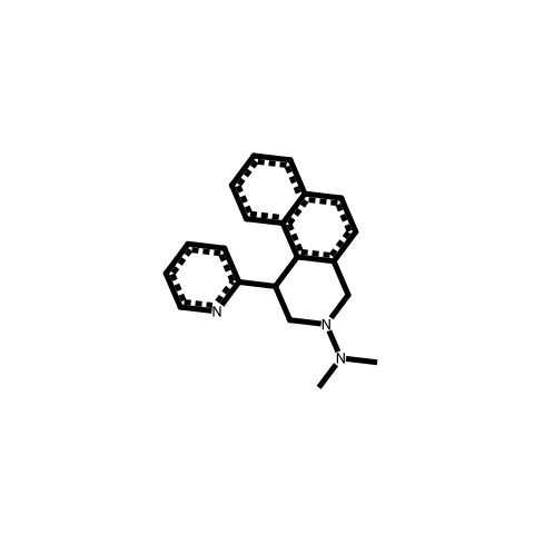 CN(C)N1Cc2ccc3ccccc3c2C(c2ccccn2)C1